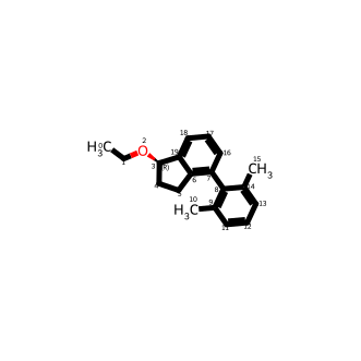 CCO[C@@H]1CCc2c(-c3c(C)cccc3C)cccc21